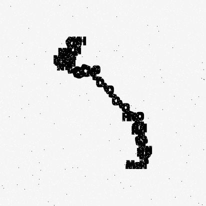 CNCc1cnc(N2CCN(c3ncc(C(=O)NCCOCCOCCOCCOCCC(=O)N4CCc5cc(Cn6nc(-c7cnc8[nH]ccc8c7)c7c(N)ncnc76)ccc5C4)cn3)CC2)nc1